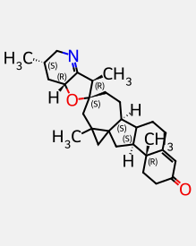 C[C@@H]1CN=C2[C@@H](C)[C@@]3(CC[C@H]4C5CCC6=CC(=O)CC[C@]6(C)[C@H]5CC45CC5(C)C3)O[C@@H]2C1